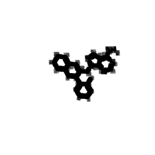 Cc1ccccc1-c1cc2c(cc1Cn1ncc3c(N)ncnc31)=CCCC=2